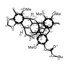 COc1cc2c(cc1OC(=O)OC(C)(C)C)CCN[C@]21CS[C@@H]2c3c(OC)c(C)c4c(c3[C@H](COC1=O)N1C2C2c3c(cc(C)c(OC)c3OC)C[C@@H]([C@@H]1C#N)N2C)OCO4